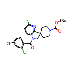 CC(C)(C)OC(=O)N1CCC(CNC(=O)c2ccc(Cl)cc2Cl)(c2cccc(F)n2)CC1